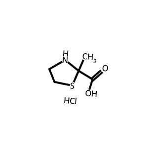 CC1(C(=O)O)NCCS1.Cl